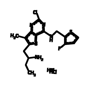 CCC(N)Cc1sc2c(NCc3sccc3F)nc(Cl)nc2c1C.Cl.Cl